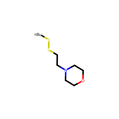 CCCCSSCCN1CCOCC1